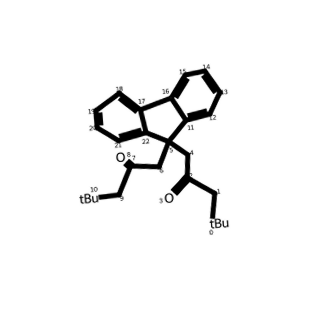 CC(C)(C)CC(=O)CC1(CC(=O)CC(C)(C)C)c2ccccc2-c2ccccc21